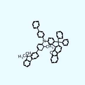 CC1CC(c2ccc3c(c2)C(C)(C)c2ccccc2-3)=CC=C1N(c1ccc(-c2ccccc2)cc1)c1ccc2c(c1)-c1c(ccc3c1oc1ccccc13)C2(c1ccccc1)c1ccccc1